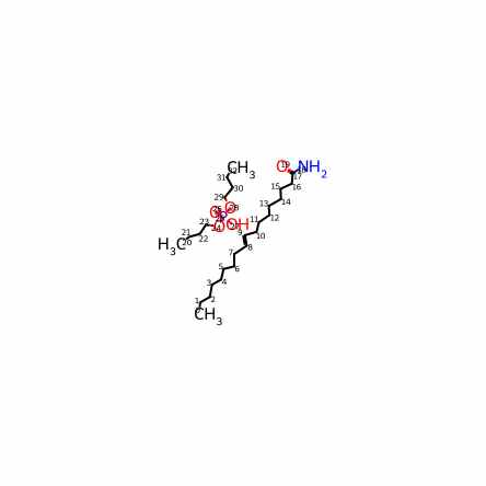 CCCCCCCCC=CCCCCCCCC(N)=O.CCCCOP(=O)(O)OCCCC